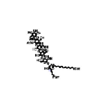 CCCCCCCCCCCCC/C=C/[C@@H](O)[C@H](CO[C@@H]1OC(CO)[C@@H](O[C@@H]2OC(CO)[C@H](O)[C@H](O[C@H]3OC(CO)[C@H](O)[C@H](O[C@@H]4OC(CO)[C@@H](O[C@@H]5OC(CO)[C@H](O)[C@H](O)C5O)[C@H](O)C4NC(C)=O)C3O)C2O)[C@H](O)C1O)NC(=O)CCCCCCCCCCCCCCCCCCCCC